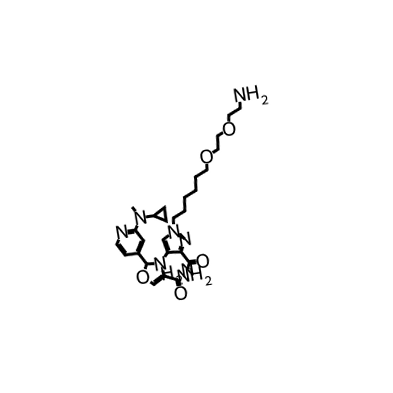 CN(c1cc(C2OC=C(C(N)=O)N2c2cn(CCCCCCOCCOCCN)nc2C(N)=O)ccn1)C1CC1